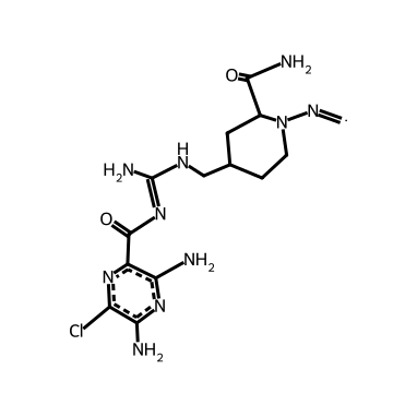 [CH]=NN1CCC(CNC(N)=NC(=O)c2nc(Cl)c(N)nc2N)CC1C(N)=O